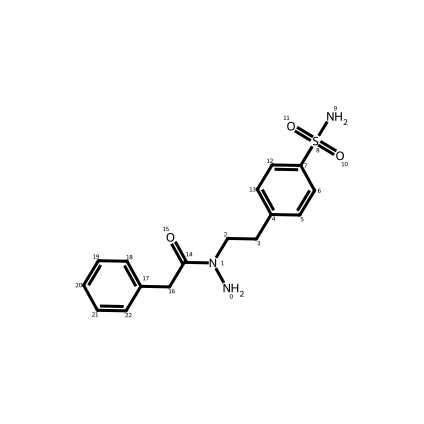 NN(CCc1ccc(S(N)(=O)=O)cc1)C(=O)Cc1ccccc1